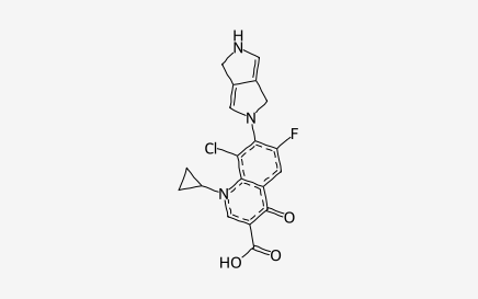 O=C(O)c1cn(C2CC2)c2c(Cl)c(N3C=C4CNC=C4C3)c(F)cc2c1=O